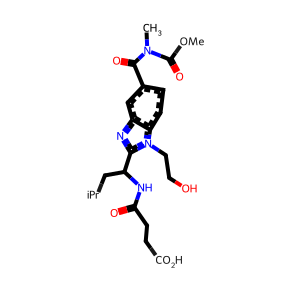 COC(=O)N(C)C(=O)c1ccc2c(c1)nc(C(CC(C)C)NC(=O)CCC(=O)O)n2CCO